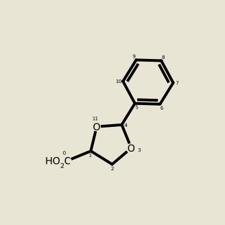 O=C(O)C1CO[C](c2ccccc2)O1